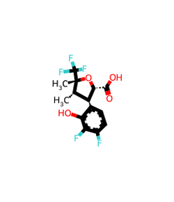 C[C@H]1[C@@H](c2ccc(F)c(F)c2O)[C@@H](C(=O)O)O[C@@]1(C)C(F)(F)F